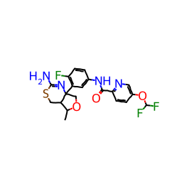 CC1OCC2(c3cc(NC(=O)c4ccc(OC(F)F)cn4)ccc3F)N=C(N)SCC12